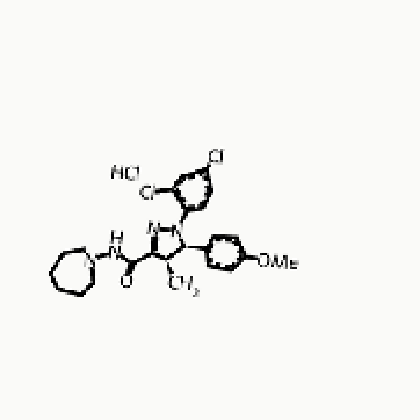 COc1ccc([C@H]2[C@@H](C)C(C(=O)NN3CCCCCC3)=NN2c2ccc(Cl)cc2Cl)cc1.Cl